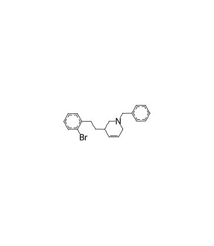 Brc1ccccc1CCC1C=CCN(Cc2ccccc2)C1